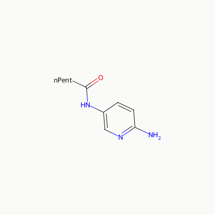 CCCCCC(=O)Nc1ccc(N)nc1